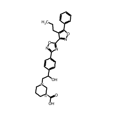 CCCc1c(-c2nc(-c3ccc(C(O)CN4CCC[C@H](C(=O)O)C4)cc3)no2)noc1-c1ccccc1